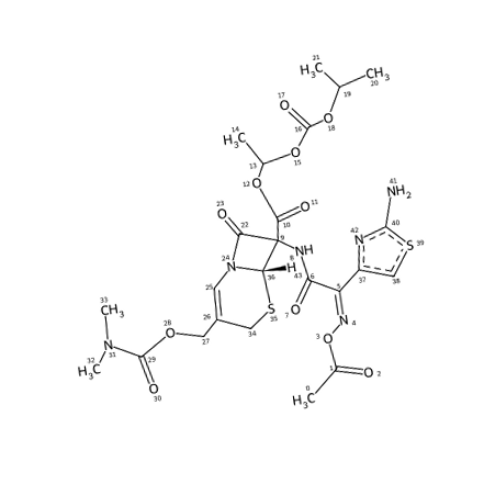 CC(=O)O/N=C(\C(=O)NC1(C(=O)OC(C)OC(=O)OC(C)C)C(=O)N2C=C(COC(=O)N(C)C)CS[C@H]21)c1csc(N)n1